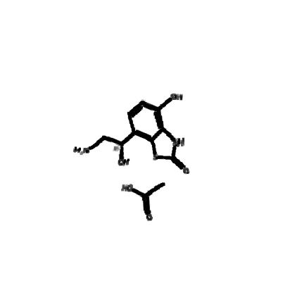 CC(=O)O.NC[C@H](O)c1ccc(O)c2[nH]c(=O)sc12